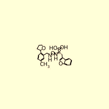 Cc1ccc(C2CCCO2)c(CNON[C@@H](Cc2coc3ccccc23)B(O)O)c1